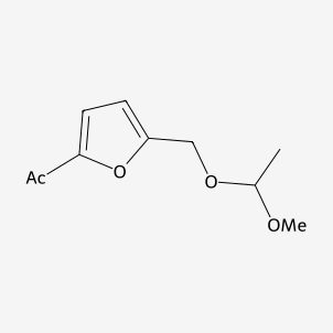 COC(C)OCc1ccc(C(C)=O)o1